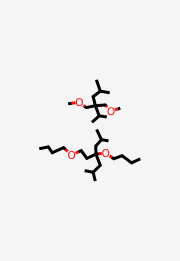 CCCCOCCC(CC(C)C)(CC(C)C)OCCCC.COCC(COC)(CC(C)C)C(C)C